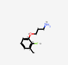 Cc1[c]ccc(OCCCN)c1F